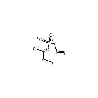 C=CCS(=O)(=O)Cl.CCCCl